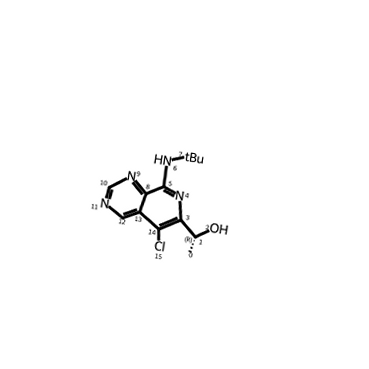 C[C@@H](O)c1nc(NC(C)(C)C)c2ncncc2c1Cl